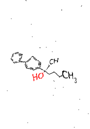 C#CC(O)(CCCC)c1ccc(-c2ccccc2)cc1